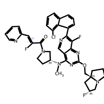 CN(c1nc(OC[C@@]23CCCN2C[C@H](F)C3)nc2c(F)c(-c3cccc4cccc(Cl)c34)ncc12)[C@@H]1CCN(C(=O)/C(F)=C/c2ccccn2)C1